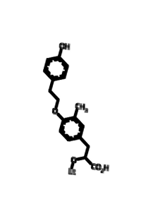 CCOC(Cc1ccc(OCCc2ccc(O)cc2)c(C)c1)C(=O)O